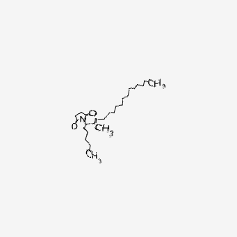 CCCCCCCCCCCCCC=C(C)C(CCCCC)N1C(=O)CCC1=O